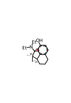 CCN(CC)C(=O)[C@]1(C)C[C@]12CCCc1ccc(O)cc12